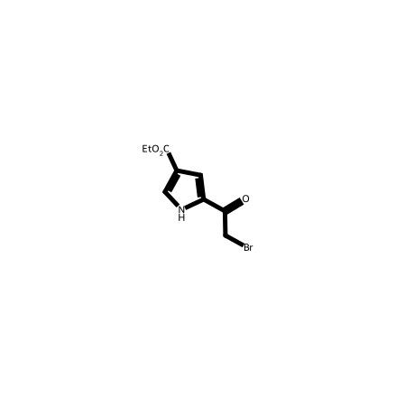 CCOC(=O)c1c[nH]c(C(=O)CBr)c1